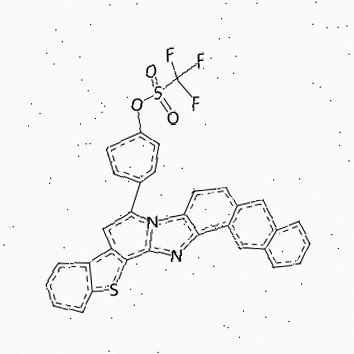 O=S(=O)(Oc1ccc(-c2cc3c4ccccc4sc3c3nc4c5cc6ccccc6cc5ccc4n23)cc1)C(F)(F)F